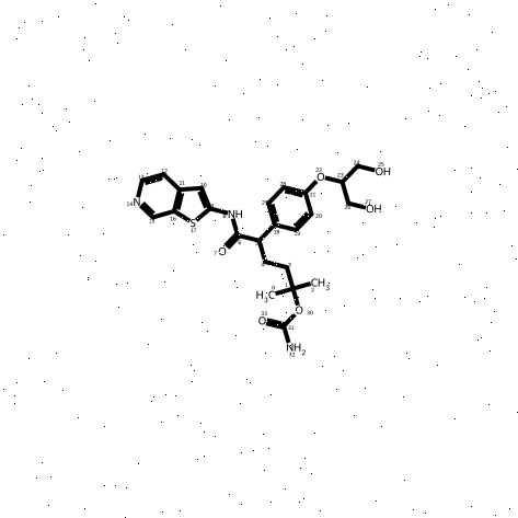 CC(C)(CCC(C(=O)Nc1cc2ccncc2s1)c1ccc(OC(CO)CO)cc1)OC(N)=O